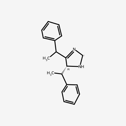 CC(C1=N[C]N[C@@H]1C(C)c1ccccc1)c1ccccc1